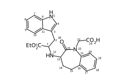 CCOC(=O)C(Cc1c[nH]c2ccccc12)NC1CCc2ccccc2N(CC(=O)O)C1=O